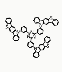 c1cc(-c2nc(-c3cccc(-n4c5ccccc5c5cc6sc7ccccc7c6cc54)c3)nc(-c3cccc(-n4c5ccccc5c5cc6sc7ccccc7c6cc54)c3)n2)cc(-n2c3ccccc3c3cc4sc5ccccc5c4cc32)c1